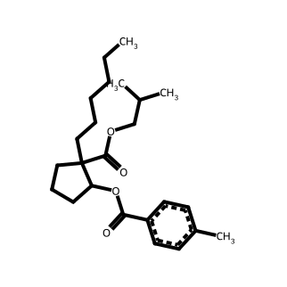 CCCCCCC1(C(=O)OCC(C)C)CCCC1OC(=O)c1ccc(C)cc1